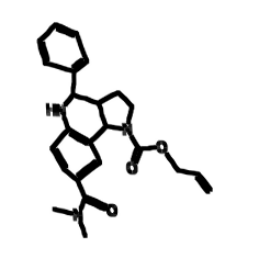 C=CCOC(=O)N1CCC2C(c3ccccc3)Nc3ccc(C(=O)N(C)C)cc3C21